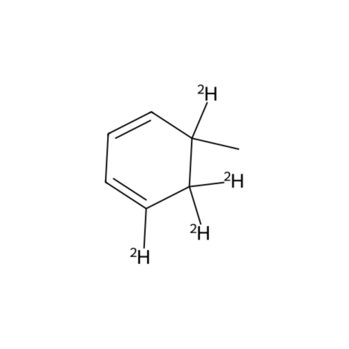 [2H]C1=CC=CC([2H])(C)C1([2H])[2H]